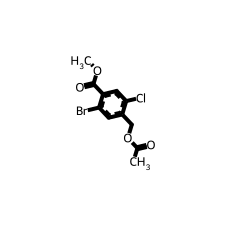 COC(=O)c1cc(Cl)c(COC(C)=O)cc1Br